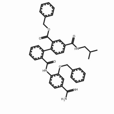 CC(C)CNC(=O)c1ccc(-c2ccccc2C(=O)Nc2ccc(C(=N)N)cc2OCc2ccccc2)c(C(=O)OCc2ccccc2)c1